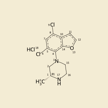 C[C@@H]1CN(c2c(Cl)cc(Cl)c3ccoc23)CCN1.Cl